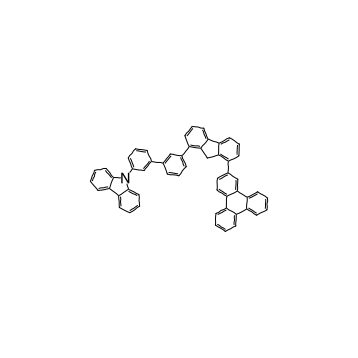 c1cc(-c2cccc(-n3c4ccccc4c4ccccc43)c2)cc(-c2cccc3c2Cc2c(-c4ccc5c6ccccc6c6ccccc6c5c4)cccc2-3)c1